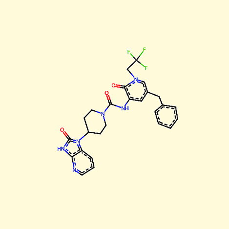 O=C(Nc1cc(Cc2ccccc2)cn(CC(F)(F)F)c1=O)N1CCC(n2c(=O)[nH]c3ncccc32)CC1